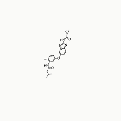 Cc1ccc(Oc2ccc3nc(NC(=O)C4CC4)nn3c2)cc1NC(=O)CC(C)C